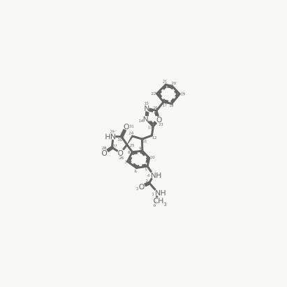 CNC(=O)Nc1ccc2c(c1)C(Cc1nnc(-c3ccccc3)o1)C[C@]21OC(=O)NC1=O